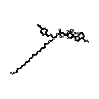 CCCCCCCCCCCCCCCCCCOC[C@@H](COP(=O)(O)OC[C@@]1(C)OC[C@](O)(c2ccc3c(N)ncnn23)[C@@H]1O)OCc1cnc(C#N)cn1